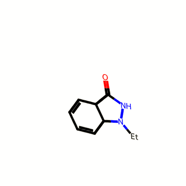 CCN1NC(=O)C2C=CC=CC21